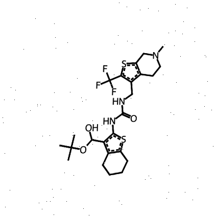 CN1CCc2c(sc(C(F)(F)F)c2CNC(=O)Nc2sc3c(c2C(O)OC(C)(C)C)CCCC3)C1